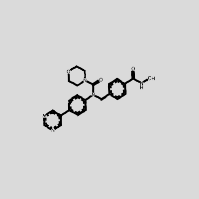 O=C(NO)c1ccc(CN(C(=O)N2CCOCC2)c2ccc(-c3cncnc3)cc2)cc1